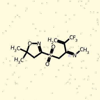 C=C(/C(CS(=O)(=O)C1=NOC(C)(C)C1)=N\C)C(F)(F)F